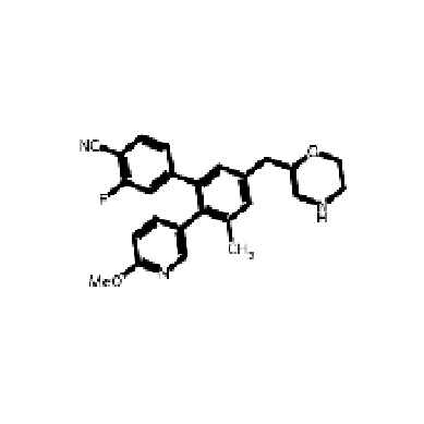 COc1ccc(-c2c(C)cc(CC3CNCCO3)cc2-c2ccc(C#N)c(F)c2)cn1